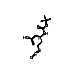 CC(C)(C)OC(=O)N[C@@H](CCN=C=O)CC(=O)O